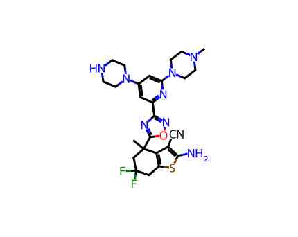 CN1CCN(c2cc(N3CCNCC3)cc(-c3noc(C4(C)CC(F)(F)Cc5sc(N)c(C#N)c54)n3)n2)CC1